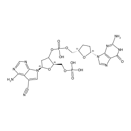 N#Cc1cn([C@H]2CC(OP(=O)(O)OC[C@@H]3CC[C@H](n4cnc5c(=O)[nH]c(N)nc54)O3)[C@@H](COP(=O)(O)O)O2)c2ncnc(N)c12